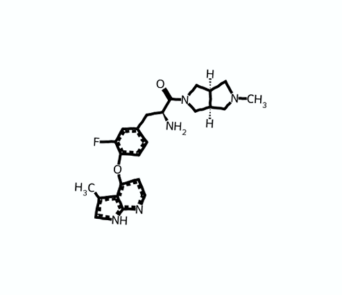 Cc1c[nH]c2nccc(Oc3ccc(C[C@H](N)C(=O)N4C[C@H]5CN(C)C[C@H]5C4)cc3F)c12